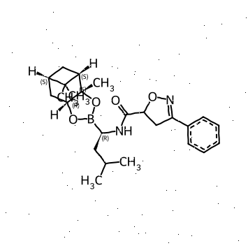 CC(C)C[C@H](NC(=O)C1CC(c2ccccc2)=NO1)B1O[C@@H]2C[C@@H]3C[C@@H](C3(C)C)[C@]2(C)O1